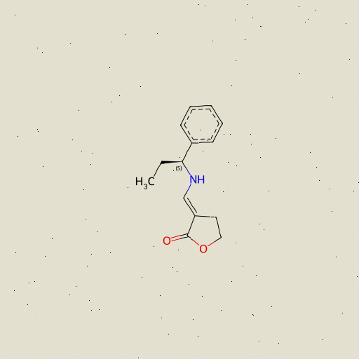 CC[C@H](NC=C1CCOC1=O)c1ccccc1